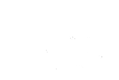 C#CCOC(=O)C(OC(C)=O)C(OC(C)=O)C(=O)OCC#C